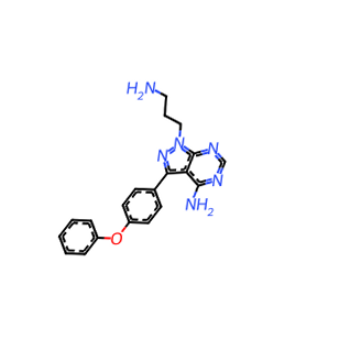 NCCCn1nc(-c2ccc(Oc3ccccc3)cc2)c2c(N)ncnc21